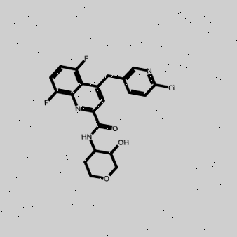 O=C(NC1CCOCC1O)c1cc(Cc2ccc(Cl)nc2)c2c(F)ccc(F)c2n1